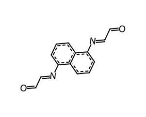 O=CC=Nc1cccc2c(N=CC=O)cccc12